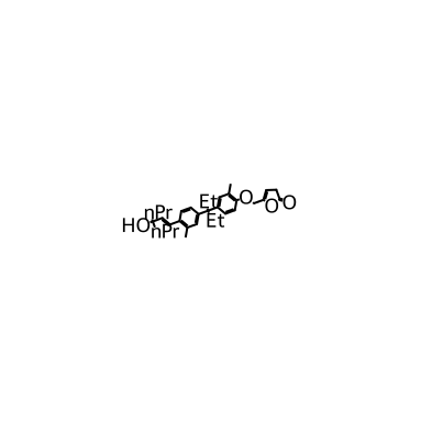 CCCC(O)(C=Cc1ccc(C(CC)(CC)c2ccc(OCC3=CCC(=O)O3)c(C)c2)cc1C)CCC